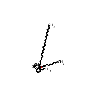 CCCCCCC/C=C/C=C/C=C/CCCCCC/C=C/CCCC(CCCCCCCCCCC)C1(OP(C)(C)=O)CCCCC1(CCC)OC